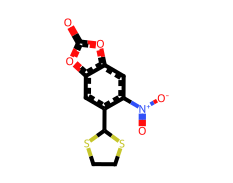 O=c1oc2cc(C3SCCS3)c([N+](=O)[O-])cc2o1